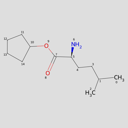 CC(C)CC[C@H](N)C(=O)OC1CCCC1